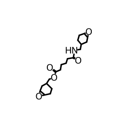 O=C(CCCCC(=O)OCC1CCC2OC2C1)NCC1CCC2OC2C1